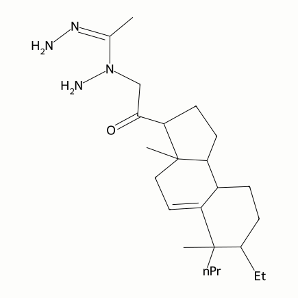 CCCC1(C)C2=CCC3(C)C(C(=O)CN(N)/C(C)=N\N)CCC3C2CCC1CC